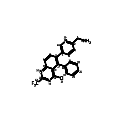 NCc1ccc(-c2ccc3nc(C(F)(F)F)nc(Cl)c3c2-c2ccccc2)cn1